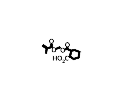 C=C(C)C(=O)OCOC(=O)C1CCCCC1C(=O)O